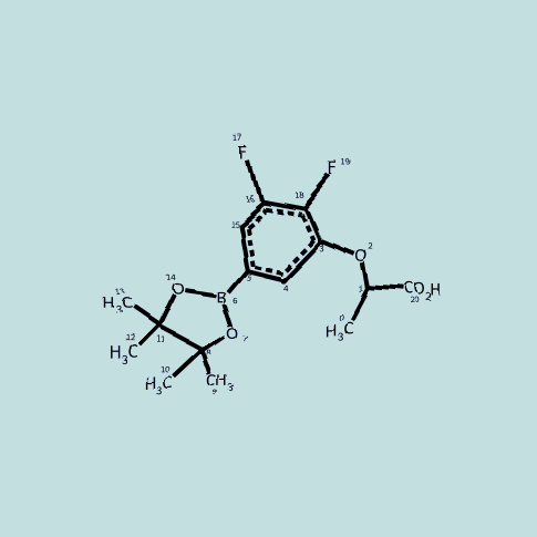 CC(Oc1cc(B2OC(C)(C)C(C)(C)O2)cc(F)c1F)C(=O)O